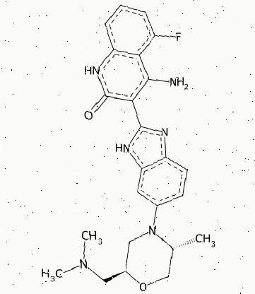 C[C@@H]1CO[C@@H](CN(C)C)CN1c1ccc2nc(-c3c(N)c4c(F)cccc4[nH]c3=O)[nH]c2c1